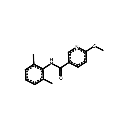 CSc1ccc(C(=O)Nc2c(C)cccc2C)cn1